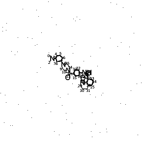 CN(C)c1cccc(N2CCN(C(=O)c3ccc(NS(=O)(=O)c4cccc5c4N=CCC5)cc3)CC2)c1